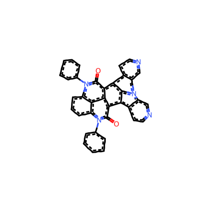 O=c1c2c3c(c(=O)n(-c4ccccc4)c4cccc(c34)n1-c1ccccc1)c1c3ccncc3n3c4cnccc4c2c13